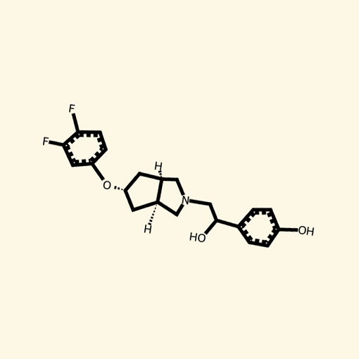 Oc1ccc(C(O)CN2C[C@H]3C[C@H](Oc4ccc(F)c(F)c4)C[C@H]3C2)cc1